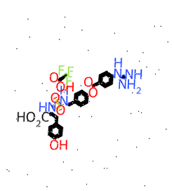 N=C(N)Nc1ccc(C(=O)Oc2ccc(CNS(=O)(=O)NC(Cc3ccc(O)cc3)C(=O)O)cc2)cc1.O=C(O)C(F)(F)F